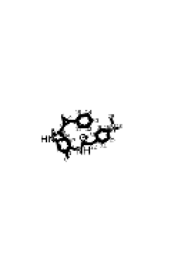 Cc1cc2[nH]nc(C3CC3c3ccccc3)c2cc1NC(=O)Cc1ccc(N(C)C)cc1